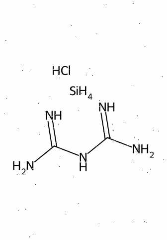 Cl.N=C(N)NC(=N)N.[SiH4]